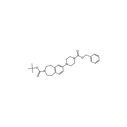 CC(C)(C)OC(=O)N1CCc2ccc(N3CCN(C(=O)OCc4ccccc4)CC3)cc2CC1